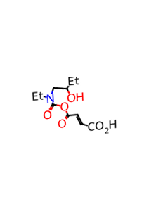 CCC(O)CN(CC)C(=O)OC(=O)C=CC(=O)O